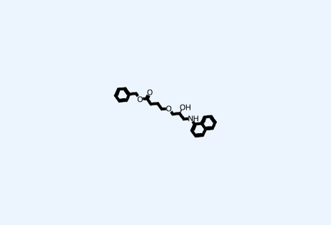 O=C(CCCOC[C@H](O)CNc1cccc2ccccc12)OCc1ccccc1